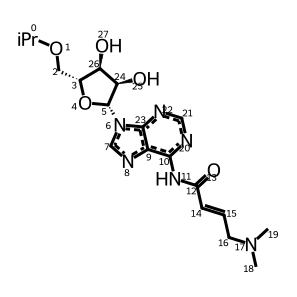 CC(C)OC[C@H]1O[C@@H](n2cnc3c(NC(=O)/C=C/CN(C)C)ncnc32)[C@H](O)[C@@H]1O